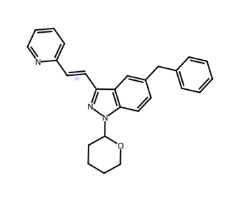 C(=C\c1nn(C2CCCCO2)c2ccc(Cc3ccccc3)cc12)/c1ccccn1